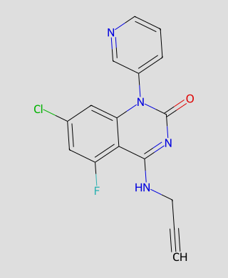 C#CCNc1nc(=O)n(-c2cccnc2)c2cc(Cl)cc(F)c12